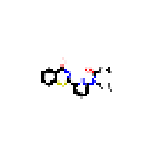 CC(=O)N(C)c1cccc(-c2nc(=O)c3ccccc3s2)n1